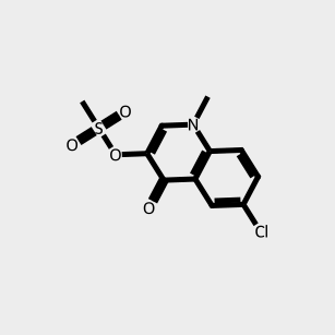 Cn1cc(OS(C)(=O)=O)c(=O)c2cc(Cl)ccc21